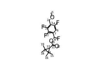 COCc1c(F)cc(C(F)OC(=O)C2C(C)(C)C2(C)C)c(F)c1F